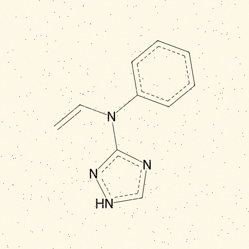 C=CN(c1ccccc1)c1nc[nH]n1